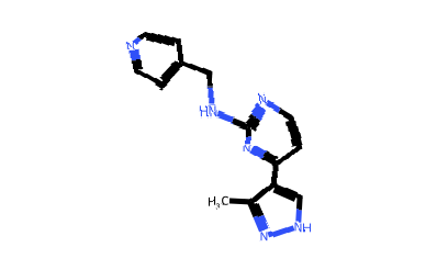 Cc1n[nH]cc1-c1ccnc(NCc2ccncc2)n1